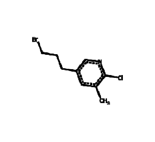 Cc1cc(CCCBr)cnc1Cl